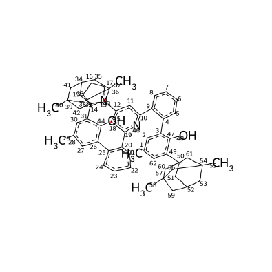 Cc1cc(-c2ccccc2-c2cc(N3CCCC3)cc(-c3ccccc3-c3cc(C)cc(C45CC6CC(C)(CC(C)(C6)C4)C5)c3O)n2)c(O)c(C23CC4CC(C)(CC(C)(C4)C2)C3)c1